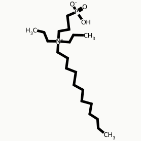 CCCCCCCCCCCC[N+](CCC)(CCC)CCCP(=O)([O-])O